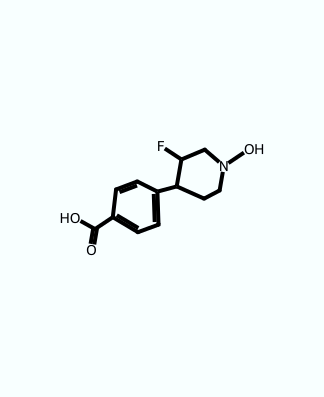 O=C(O)c1ccc(C2CCN(O)CC2F)cc1